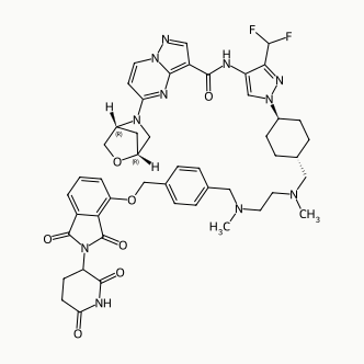 CN(CCN(C)C[C@H]1CC[C@H](n2cc(NC(=O)c3cnn4ccc(N5C[C@H]6C[C@@H]5CO6)nc34)c(C(F)F)n2)CC1)Cc1ccc(COc2cccc3c2C(=O)N(C2CCC(=O)NC2=O)C3=O)cc1